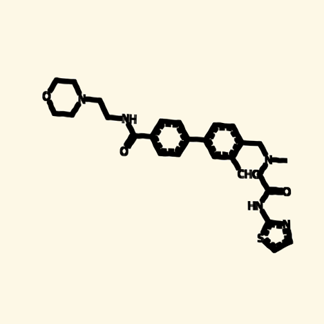 CN(CC(=O)Nc1nccs1)Cc1ccc(-c2ccc(C(=O)NCCN3CCOCC3)cc2)cc1C=O